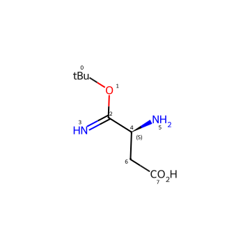 CC(C)(C)OC(=N)[C@@H](N)CC(=O)O